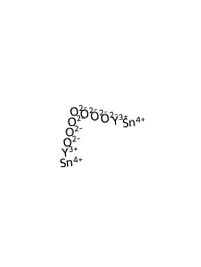 [O-2].[O-2].[O-2].[O-2].[O-2].[O-2].[O-2].[Sn+4].[Sn+4].[Y+3].[Y+3]